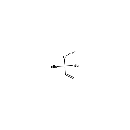 C=C[Si](CCCC)(CCCC)OCCC